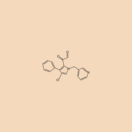 O=CC(=O)c1c(-c2ccccc2)c(Cl)cn1Cc1cccnc1